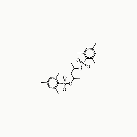 Cc1cc(C)c(S(=O)(=O)OC(C)CC(C)OS(=O)(=O)c2c(C)cc(C)cc2C)c(C)c1